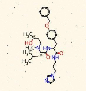 CC(C)C[C@@H](C(=O)NC(Cc1ccc(OCc2ccccc2)cc1)C(=O)NCCCn1ccnc1)N(C)CC[C@H](C)O